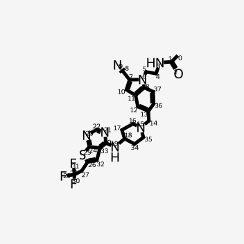 CC(=O)NCCn1c(C#N)cc2cc(CN3CCC(Nc4ncnc5sc(CC(F)(F)F)cc45)CC3)ccc21